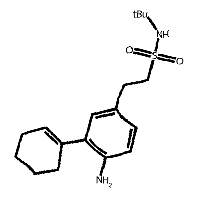 CC(C)(C)NS(=O)(=O)CCc1ccc(N)c(C2=CCCCC2)c1